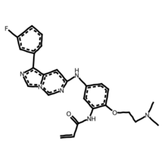 C=CC(=O)Nc1cc(Nc2cc3c(-c4cccc(F)c4)ncn3cn2)ccc1OCCN(C)C